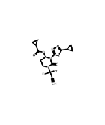 C#CC(CC)(CC)N1CCC(OC(=O)C2CC2)N(c2nnc(C3CC3)s2)C1=O